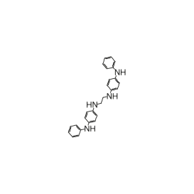 c1ccc(Nc2ccc(NCCNc3ccc(Nc4ccccc4)cc3)cc2)cc1